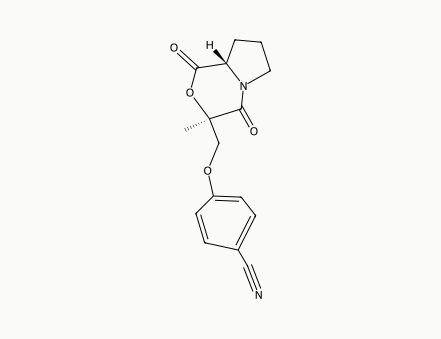 C[C@]1(COc2ccc(C#N)cc2)OC(=O)[C@@H]2CCCN2C1=O